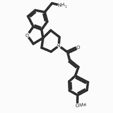 COc1ccc(/C=C/C(=O)N2CCC3(CC2)COc2ccc(CN)cc23)cc1